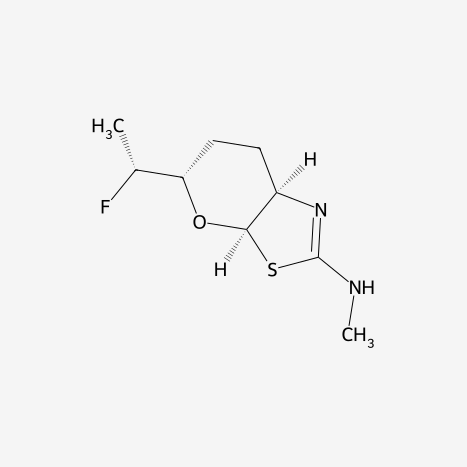 CNC1=N[C@@H]2CC[C@@H]([C@@H](C)F)O[C@@H]2S1